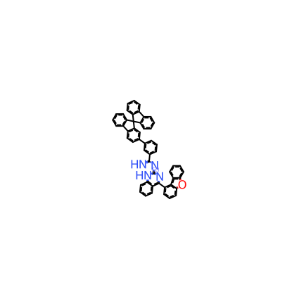 N=C(/N=c1/nc(-c2cccc3oc4ccccc4c23)c2ccccc2[nH]1)c1cccc(-c2ccc3c(c2)C2(c4ccccc4-c4ccccc42)c2ccccc2-3)c1